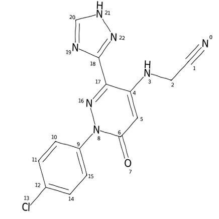 N#CCNc1cc(=O)n(-c2ccc(Cl)cc2)nc1-c1nc[nH]n1